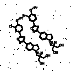 CC(C)Oc1ccc(-c2nc(-c3ccc4c(c3)CCN4CC(N)(CO)CO)no2)cc1Cl.CCCOc1ccc(-c2nc(-c3ccc4c(c3)CCN4CC(N)(CO)CO)no2)cc1Br